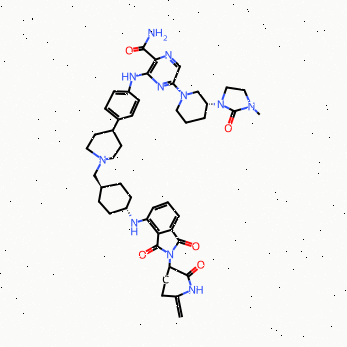 C=C1CCC(N2C(=O)c3cccc(N[C@H]4CC[C@H](CN5CCC(c6ccc(Nc7nc(N8CCC[C@@H](N9CCN(C)C9=O)C8)cnc7C(N)=O)cc6)CC5)CC4)c3C2=O)C(=O)N1